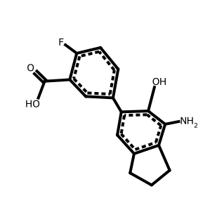 Nc1c(O)c(-c2ccc(F)c(C(=O)O)c2)cc2c1CCC2